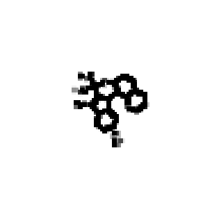 CC(C)(C)C1=[C]([Cr+2])c2ccccc2C1c1cccc2cccnc12.[Cl-].[Cl-]